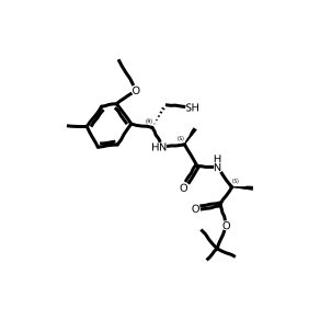 COc1cc(C)ccc1[C@H](CS)N[C@@H](C)C(=O)N[C@@H](C)C(=O)OC(C)(C)C